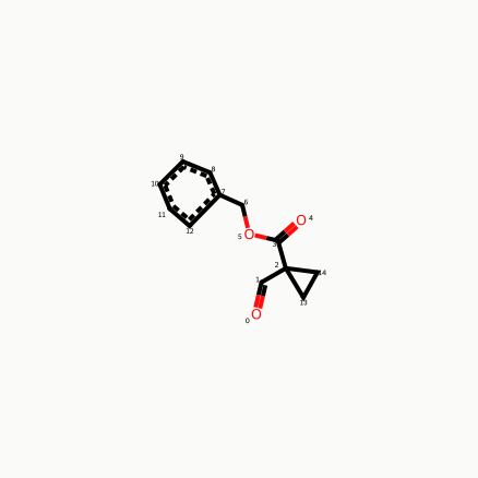 O=CC1(C(=O)OCc2ccccc2)CC1